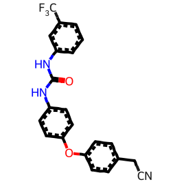 N#CCc1ccc(Oc2ccc(NC(=O)Nc3cccc(C(F)(F)F)c3)cc2)cc1